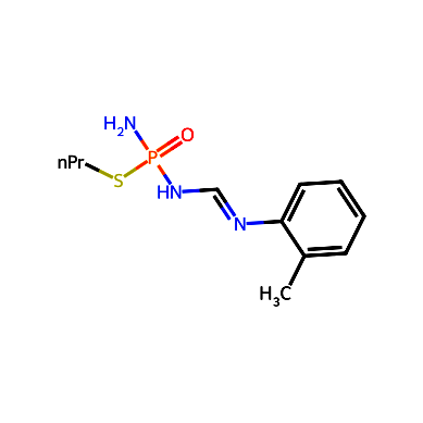 CCCSP(N)(=O)NC=Nc1ccccc1C